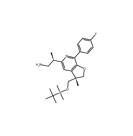 C[C@H](CN)c1cc2c(c(-c3ccc(F)cc3)n1)OC[C@]2(C)CO[Si](C)(C)C(C)(C)C